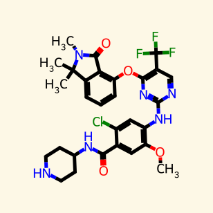 COc1cc(C(=O)NC2CCNCC2)c(Cl)cc1Nc1ncc(C(F)(F)F)c(Oc2cccc3c2C(=O)N(C)C3(C)C)n1